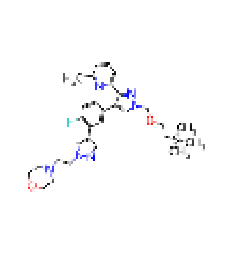 Cc1cccc(-c2nn(COCC[Si](C)(C)C)cc2-c2ccc(F)c(-c3cnn(CCN4CCOCC4)c3)c2)n1